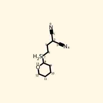 N#CC(C#N)CC[SiH2]C1CCCCO1